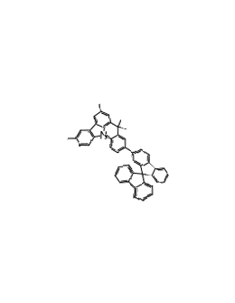 Cc1ccc2c(c1)c1cc(C)cc3c1n2-c1ccc(-c2ccc4c(c2)C2(c5ccccc5-c5ccccc52)c2ccccc2-4)cc1C3(C)C